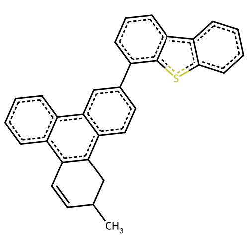 CC1C=Cc2c(c3ccc(-c4cccc5c4sc4ccccc45)cc3c3ccccc23)C1